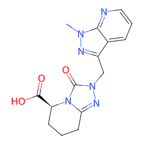 Cn1nc(Cn2nc3n(c2=O)[C@H](C(=O)O)CCC3)c2cccnc21